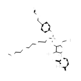 COCCOCCOCCOP(=O)(Oc1ccc(COC=O)cc1)OC1C(O)[C@H](n2ccc(=O)[nH]c2=O)O[C@@H]1CO